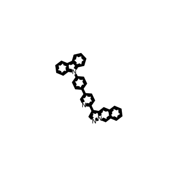 c1ccc2cn3ncc(-c4ccc(-c5ccc(-n6c7ccccc7c7ccccc76)cc5)cn4)c3cc2c1